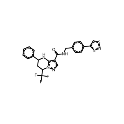 O=C(NCc1ccc(-c2csnn2)cc1)c1cnn2c1NC(c1ccccc1)CC2C(F)(F)F